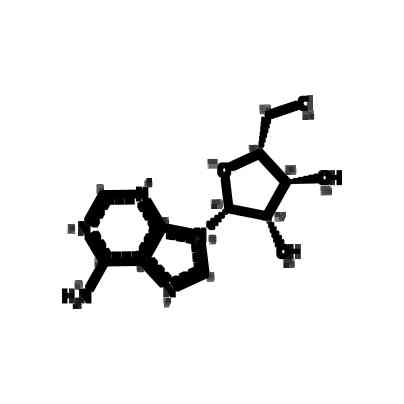 Nc1ncnc2c1ncn2[C@@H]1O[C@H](CCl)[C@H](O)[C@@H]1O